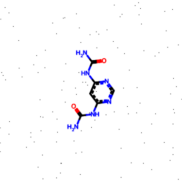 NC(=O)Nc1cc(NC(N)=O)ncn1